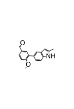 COc1ccc(C=O)cc1-c1ccc2[nH]c(C)cc2c1